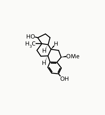 CO[C@@H]1C[C@@H]2[C@H](CCC3(C)C(O)CC[C@@H]23)c2ccc(O)cc21